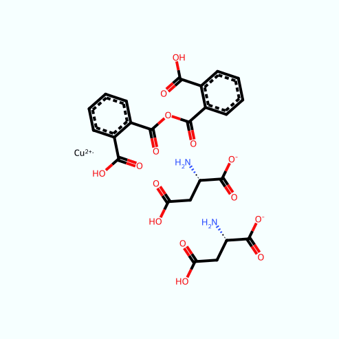 N[C@@H](CC(=O)O)C(=O)[O-].N[C@@H](CC(=O)O)C(=O)[O-].O=C(O)c1ccccc1C(=O)OC(=O)c1ccccc1C(=O)O.[Cu+2]